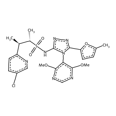 COc1ncnc(OC)c1-n1c(NS(=O)(=O)[C@@H](C)[C@H](C)c2ccc(Cl)cn2)nnc1-c1ccc(C)o1